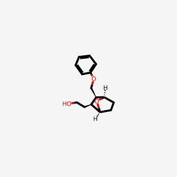 OCC[C@H]1[C@@H](COc2ccccc2)[C@H]2CC[C@@H]1O2